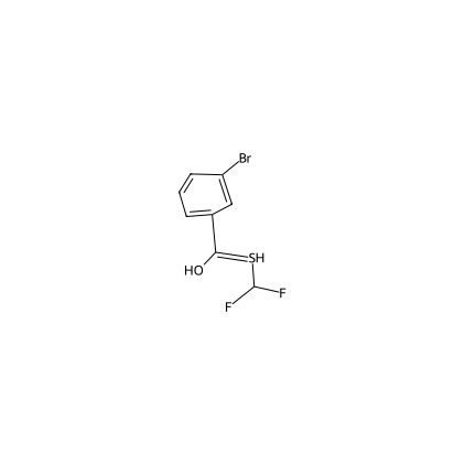 OC(=[SH]C(F)F)c1cccc(Br)c1